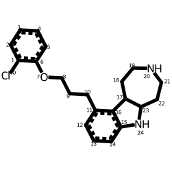 Clc1ccccc1OCCCc1cccc2c1C1CCNCCC1N2